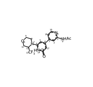 CC(=O)Nc1cc(-c2cc(N3CCOCC3C(F)(F)F)[nH]c(=O)c2)ccn1